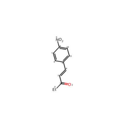 CCC(=O)C=Cc1ccc([N+](=O)[O-])cc1